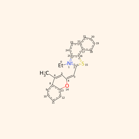 CC[n+]1c(/C=C2\C=C(C)c3ccccc3O2)sc2c3ccccc3ccc21